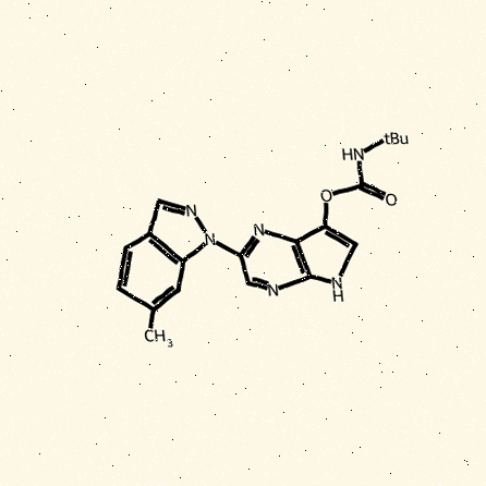 Cc1ccc2cnn(-c3cnc4[nH]cc(OC(=O)NC(C)(C)C)c4n3)c2c1